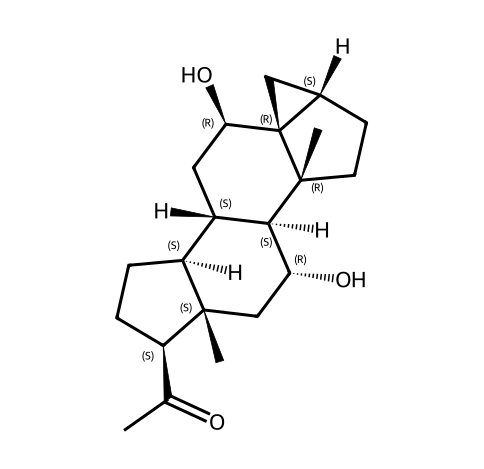 CC(=O)[C@H]1CC[C@H]2[C@@H]3C[C@@H](O)[C@]45C[C@@H]4CC[C@]5(C)[C@H]3[C@H](O)C[C@]12C